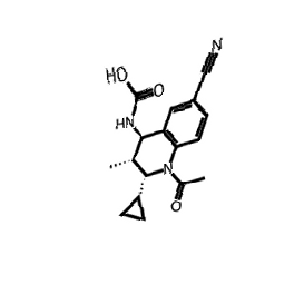 CC(=O)N1c2ccc(C#N)cc2[C@H](NC(=O)O)[C@@H](C)[C@H]1C1CC1